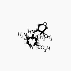 CC1(C)COCC1Nc1cc(C(=O)O)ncc1N